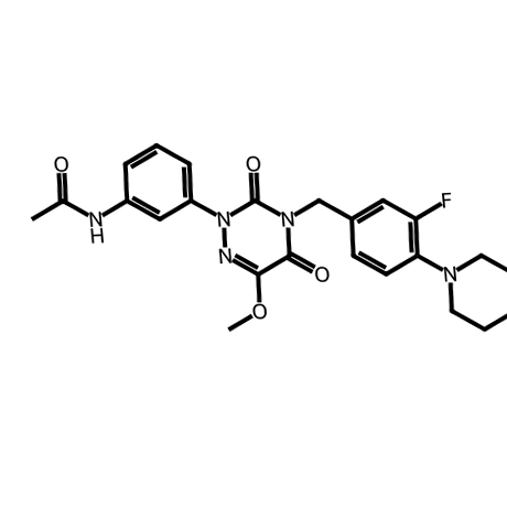 COc1nn(-c2cccc(NC(C)=O)c2)c(=O)n(Cc2ccc(N3CCOCC3)c(F)c2)c1=O